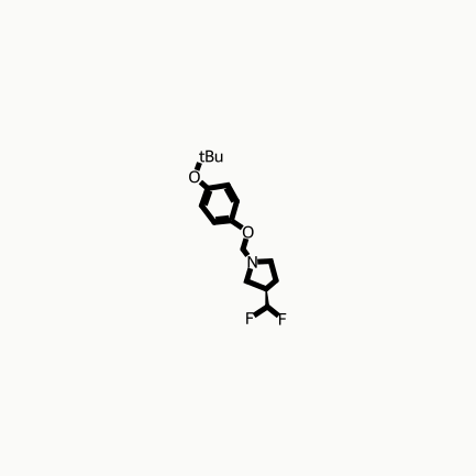 CC(C)(C)Oc1ccc(OCN2CC[C@@H](C(F)F)C2)cc1